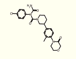 Cc1cc(C2CCCN(C(=O)N(C(N)=O)c3ccc(Cl)cc3)C2)ccc1N1CCOCC1=O